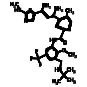 CNc1ncc(/C(N)=C/N(N)c2cc(C(=O)Nc3cc(C(F)(F)F)cc(CNC(C)(C)C)c3OC)ccc2C)s1